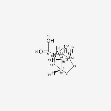 CN[C@H]1[C@@H]2CC[C@H]1CN(C(=O)O)C2